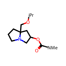 CNC(=O)OC1CN2CCCC2(COC(C)C)C1